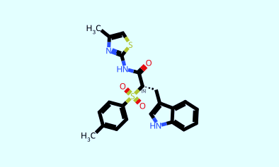 Cc1ccc(S(=O)(=O)[C@@H](Cc2c[nH]c3ccccc23)C(=O)Nc2nc(C)cs2)cc1